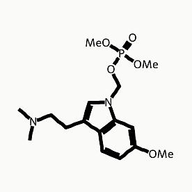 COc1ccc2c(CCN(C)C)cn(COP(=O)(OC)OC)c2c1